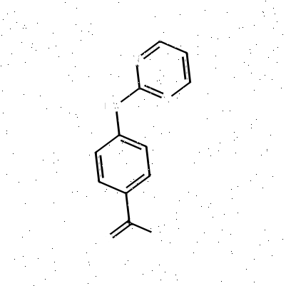 O=C(Cl)c1ccc(Nc2ncccn2)cc1